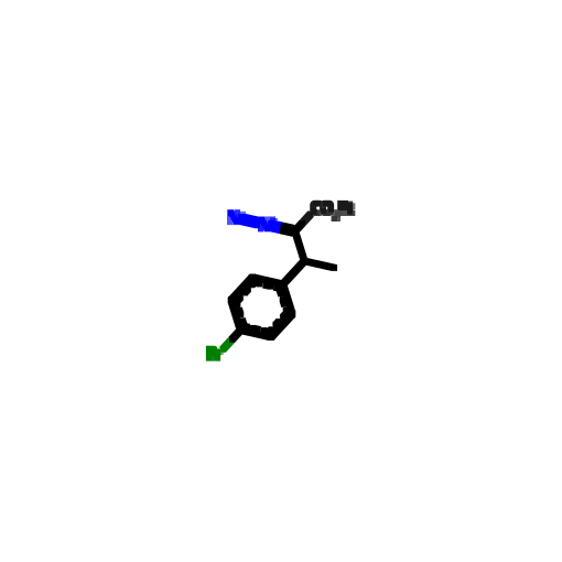 CCOC(=O)C(=[N+]=[N-])C(C)c1ccc(Br)cc1